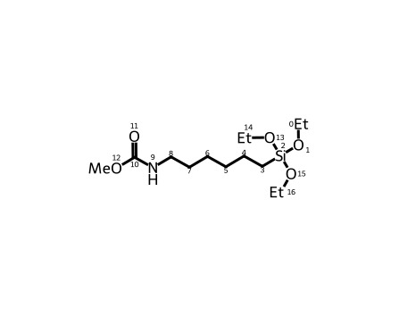 CCO[Si](CCCCCCNC(=O)OC)(OCC)OCC